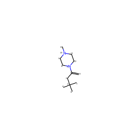 C=C(CC(C)(C)C)N1CCN(C)CC1